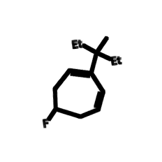 CCC(C)(CC)C1=CCC(F)CC=C1